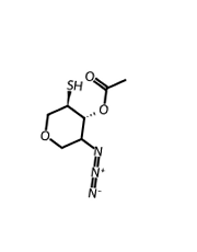 CC(=O)O[C@@H]1C(N=[N+]=[N-])COC[C@H]1S